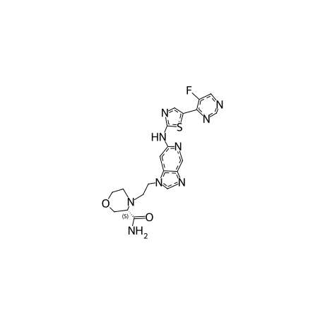 NC(=O)[C@@H]1COCCN1CCn1cnc2cnc(Nc3ncc(-c4ncncc4F)s3)cc21